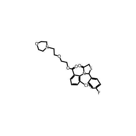 Cc1cccc(C(=O)OCCOCCN2CCOCC2)c1N1C(=O)CSC1c1ccc(F)cc1